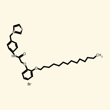 CCCCCCCCCCCCCCOc1ccccc1OCC(=O)Nc1ccc(C[n+]2ccsc2)cc1.[Br-]